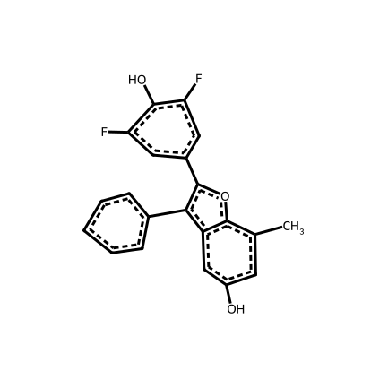 Cc1cc(O)cc2c(-c3ccccc3)c(-c3cc(F)c(O)c(F)c3)oc12